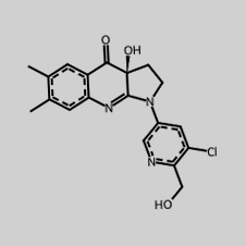 Cc1cc2c(cc1C)C(=O)[C@]1(O)CCN(c3cnc(CO)c(Cl)c3)C1=N2